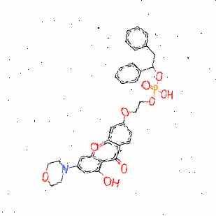 O=c1c2ccc(OCCOP(=O)(O)OC(Cc3ccccc3)c3ccccc3)cc2oc2cc(N3CCOCC3)cc(O)c12